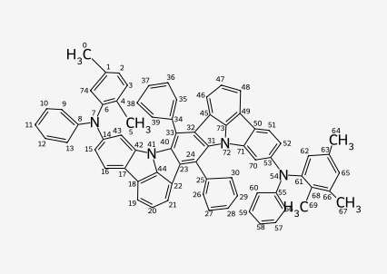 Cc1ccc(C)c(N(c2ccccc2)c2ccc3c4cccc5c6c(-c7ccccc7)c7c(c(-c8ccccc8)c6n(c3c2)c45)c2cccc3c4ccc(N(c5ccccc5)c5cc(C)cc(C)c5C)cc4n7c32)c1